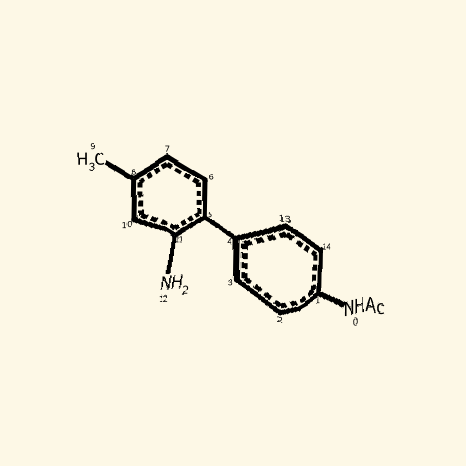 CC(=O)Nc1ccc(-c2ccc(C)cc2N)cc1